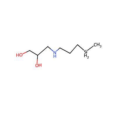 C[SiH2]CCCNCC(O)CO